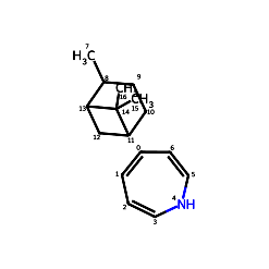 C1=CC=CNC=C1.CC1CCC2CC1C2(C)C